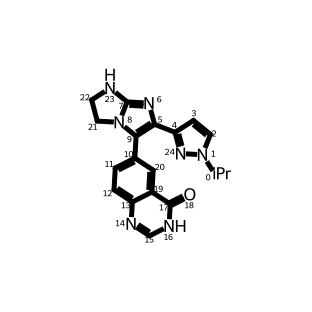 CC(C)n1ccc(-c2nc3n(c2-c2ccc4nc[nH]c(=O)c4c2)CCN3)n1